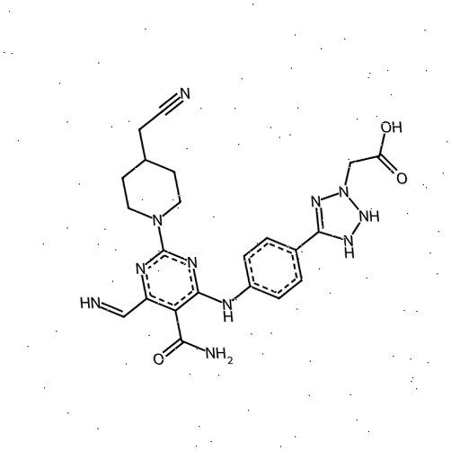 N#CCC1CCN(c2nc(C=N)c(C(N)=O)c(Nc3ccc(C4=NN(CC(=O)O)NN4)cc3)n2)CC1